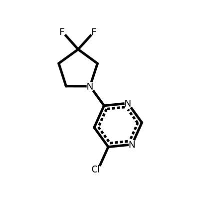 FC1(F)CCN(c2cc(Cl)ncn2)C1